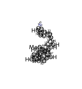 C/C=C/C(=O)O[C@@H]1C[C@H](OC2C[C@H](Oc3cc4cc5c(c(O)c4c(O)c3C)C(=O)[C@@H](O[C@H]3C[C@@H](O[C@H]4C[C@@H](O[C@H]6C[C@](C)(O)[C@H](O)C(C)O6)[C@@H](O)C(C)O4)[C@H](O)C(C)O3)[C@H]([C@H](OC)C(=O)[C@@H](O)[C@@H](C)O)C5)OC(C)[C@H]2O)OC(C)[C@H]1O